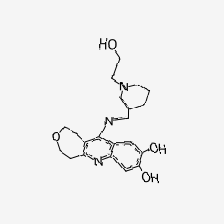 OCCN1CCCC(/C=N/c2c3c(nc4cc(O)c(O)cc24)CCOCC3)C1